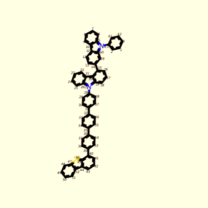 c1ccc(-n2c3ccccc3c3ccc(-c4cccc5c4c4ccccc4n5-c4ccc(-c5ccc(-c6ccc(-c7cccc8c7sc7ccccc78)cc6)cc5)cc4)cc32)cc1